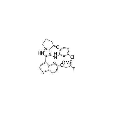 COc1c(Cl)cccc1Nc1c(-c2ccnc3ccc(OCC(F)F)nc23)[nH]c2c1C(=O)CCC2